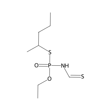 CCCC(C)SP(=O)(NC=S)OCC